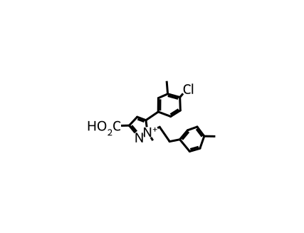 Cc1ccc(CC[N+]2(C)N=C(C(=O)O)C=C2c2ccc(Cl)c(C)c2)cc1